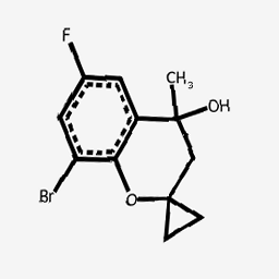 CC1(O)CC2(CC2)Oc2c(Br)cc(F)cc21